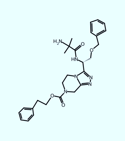 CC(C)(N)C(=O)N[C@H](COCc1ccccc1)c1nnc2n1CCN(C(=O)OCCc1ccccc1)C2